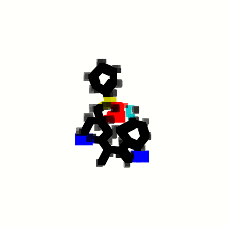 CC(c1c[nH]c2ccc(F)cc12)C1CC(O)(C[S+]([O-])c2ccccc2)CCN1